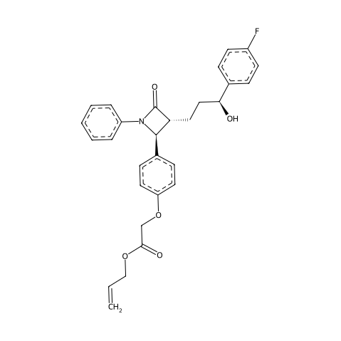 C=CCOC(=O)COc1ccc([C@@H]2[C@@H](CC[C@H](O)c3ccc(F)cc3)C(=O)N2c2ccccc2)cc1